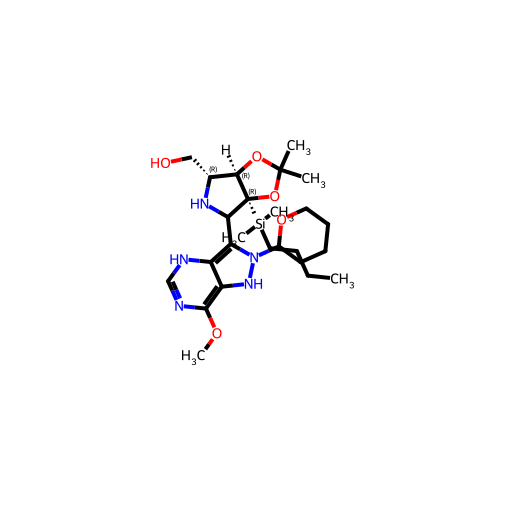 CCCC[Si](C)(C)[C@@]12OC(C)(C)O[C@@H]1[C@@H](CO)NC2C1=C2NC=NC(OC)=C2NN1C1CCCCO1